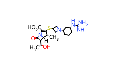 C[C@@H](O)[C@H]1C(=O)N2C(C(=O)O)=C(SC3CN([C@@H]4CCC[C@H](NC(=N)N)C4)C3)[C@H](C)[C@H]12